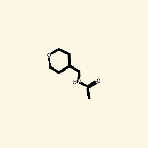 [CH2]C(=O)NCC1CCOCC1